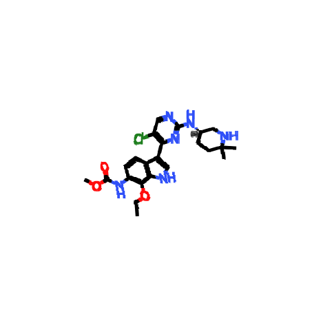 CCOc1c(NC(=O)OC)ccc2c(-c3nc(N[C@H]4CCC(C)(C)NC4)ncc3Cl)c[nH]c12